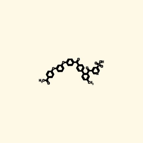 CC(=O)c1ccc(Oc2cccc(Oc3ccc(C(=O)c4ccc(-c5ccc(C)cc5C(=O)c5cncc(S(=O)(=O)O)c5)cc4)cc3)c2)cc1